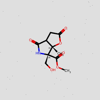 COC(=O)[C@]1(CO)NC(=O)C2CC(=O)O[C@@]21C